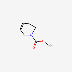 CCCCOC(=O)N1C[C]=CCC1